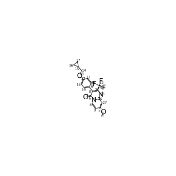 COc1ccn2c(=O)c(-c3ccc(OCC4CC4)cc3)c(C(F)(F)F)nc2c1